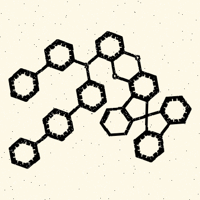 C1=CC2=C(CC1)C1(c3ccccc3-c3ccccc31)c1ccc3c(c12)Oc1c(cccc1N(c1cccc(-c2ccccc2)c1)c1cccc(-c2ccc(-c4ccccc4)cc2)c1)O3